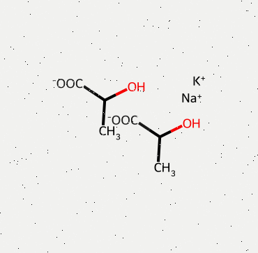 CC(O)C(=O)[O-].CC(O)C(=O)[O-].[K+].[Na+]